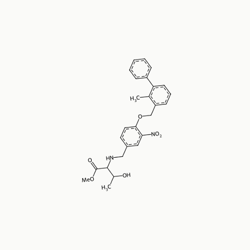 COC(=O)C(NCc1ccc(OCc2cccc(-c3ccccc3)c2C)c([N+](=O)[O-])c1)C(C)O